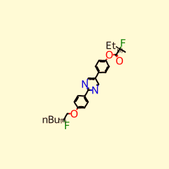 CCCC[C@@H](F)COc1ccc(-c2ncc(-c3ccc(OC(=O)[C@@](C)(F)CC)cc3)cn2)cc1